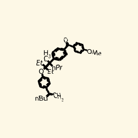 CCCCC(C)c1ccc(OC(CC)(CC)C(C)(CCC)c2ccc(C(=O)c3ccc(OC)cc3)cc2)cc1